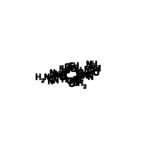 BP1(=O)OC[C@H]2O[C@@H](n3cnc4c(N)ncnc43)[C@H](F)[C@@H]2O[P@@](=O)(S)OC[C@H]2O[C@@H](n3cnc4c(=O)[nH]c(N)nc43)[C@H](F)[C@@H]2O1